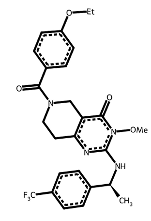 CCOc1ccc(C(=O)N2CCc3nc(N[C@@H](C)c4ccc(C(F)(F)F)cc4)n(OC)c(=O)c3C2)cc1